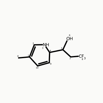 CC1=CNC(C(O)CC(F)(F)F)C=C1